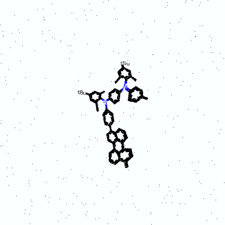 Cc1ccc(N(c2ccc(N(c3ccc(-c4ccc5c6cccc7c(C)ccc(c8cccc4c85)c76)cc3)c3c(C)cc(C(C)(C)C)cc3C)cc2)c2c(C)cc(C(C)(C)C)cc2C)cc1